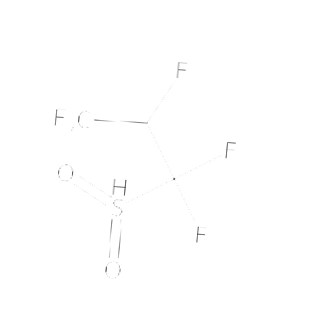 O=[SH](=O)C(F)(F)C(F)C(F)(F)F